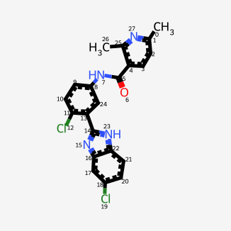 Cc1ccc(C(=O)Nc2ccc(Cl)c(-c3nc4cc(Cl)ccc4[nH]3)c2)c(C)n1